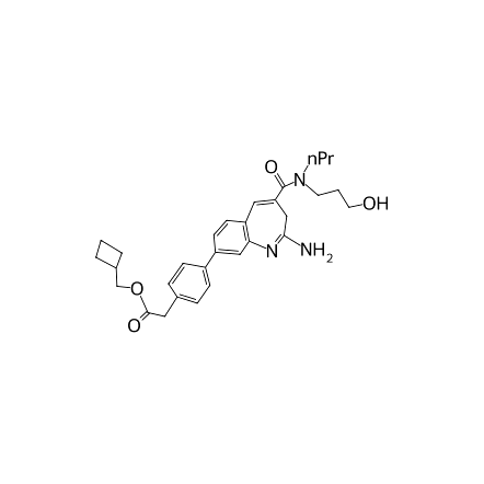 CCCN(CCCO)C(=O)C1=Cc2ccc(-c3ccc(CC(=O)OCC4CCC4)cc3)cc2N=C(N)C1